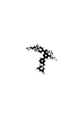 COCCCS(=O)(=O)N1CCC(c2c[nH]c3c(C(N)=O)cc(-c4cccc(CN5CC(C)CC(C)C5)c4)cc23)CC1